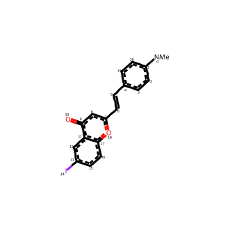 CNc1ccc(/C=C/c2cc(=O)c3cc(I)ccc3o2)cc1